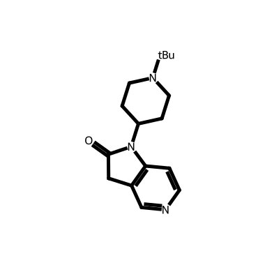 CC(C)(C)N1CCC(N2C(=O)Cc3cnccc32)CC1